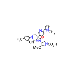 CO[C@H]1CN(C(=O)O)C[C@H]1NC(=O)C1(c2ccc(-c3cccn3C)nc2)CCN(c2ccc(C(F)(F)F)cc2C#N)CC1